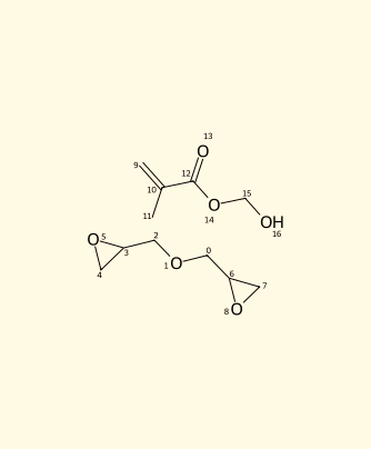 C(OCC1CO1)C1CO1.C=C(C)C(=O)OCO